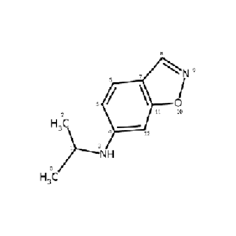 CC(C)Nc1ccc2cnoc2c1